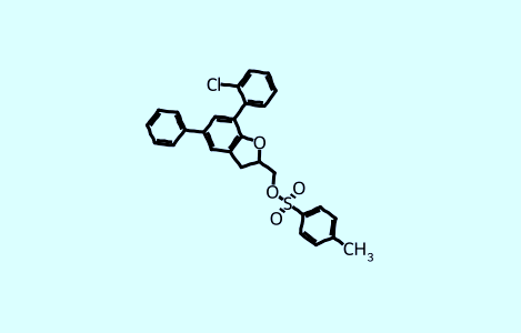 Cc1ccc(S(=O)(=O)OCC2Cc3cc(-c4ccccc4)cc(-c4ccccc4Cl)c3O2)cc1